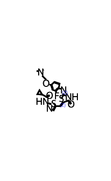 CN(C)CCOc1ccc(/N=C2/NC(=O)/C(=C/c3cnc(NC(=O)C4CC4)s3)S2)c(F)c1